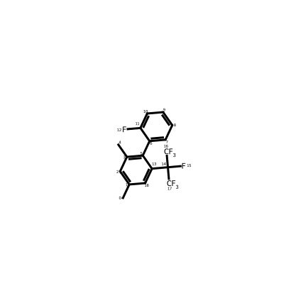 Cc1[c]c(C)c(-c2ccccc2F)c(C(F)(C(F)(F)F)C(F)(F)F)c1